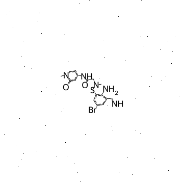 CN(CC(=O)Nc1ccn(C)c(=O)c1)Sc1cc(Br)cc(C=N)c1N